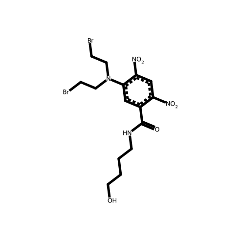 O=C(NCCCCO)c1cc(N(CCBr)CCBr)c([N+](=O)[O-])cc1[N+](=O)[O-]